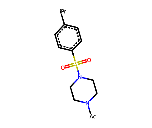 CC(=O)N1CCN(S(=O)(=O)c2ccc(C(C)C)cc2)CC1